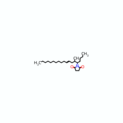 CCCCCCCCCCC=CCC(C)C(CCCC)N1C(=O)CCC1=O